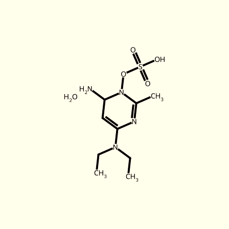 CCN(CC)C1=CC(N)N(OS(=O)(=O)O)C(C)=N1.O